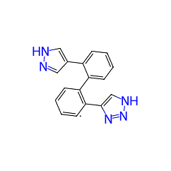 [c]1cccc(-c2ccccc2-c2cn[nH]c2)c1-c1c[nH]nn1